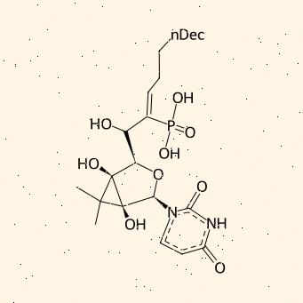 CCCCCCCCCCCC/C=C(/C(O)[C@H]1O[C@@H](n2ccc(=O)[nH]c2=O)[C@]2(O)C(C)(C)[C@]12O)P(=O)(O)O